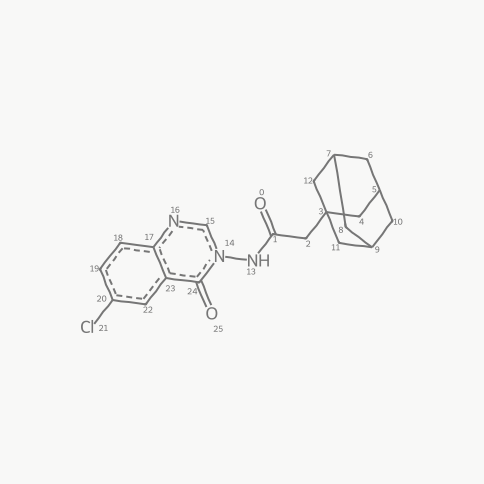 O=C(CC12CC3CC(CC(C3)C1)C2)Nn1cnc2ccc(Cl)cc2c1=O